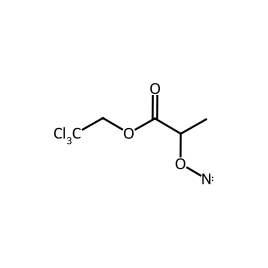 CC(O[N])C(=O)OCC(Cl)(Cl)Cl